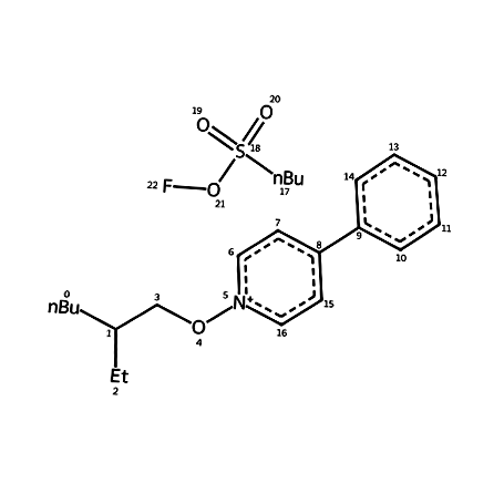 CCCCC(CC)CO[n+]1ccc(-c2ccccc2)cc1.CCCCS(=O)(=O)OF